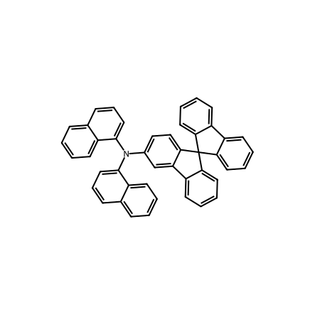 c1ccc2c(c1)-c1ccccc1C21c2ccccc2-c2cc(N(c3cccc4ccccc34)c3cccc4ccccc34)ccc21